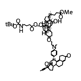 CC#C[C@]1(O)CCC2C3CCC4=CC(=O)CCC4=C3[C@@H](c3ccc(N(C)CCO[C@H]4CC[C@@]5(C)[C@@H](C4)C[C@@H](OCOC(=O)CCCNC(=O)OC(C)(C)C)[C@@H]4[C@@H]5C[C@H](O)[C@]5(C)[C@@H]([C@H](C)CCC(=O)OC)CC[C@@H]45)cc3)C[C@@]21C